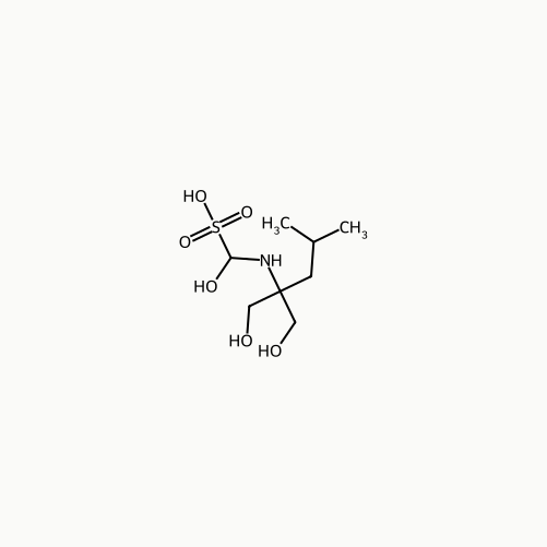 CC(C)CC(CO)(CO)NC(O)S(=O)(=O)O